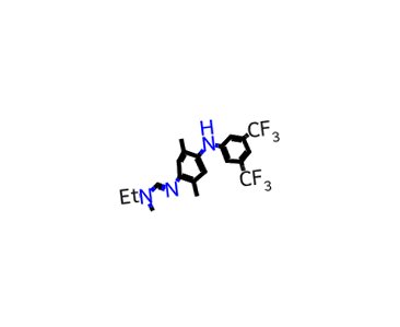 CCN(C)C=Nc1cc(C)c(Nc2cc(C(F)(F)F)cc(C(F)(F)F)c2)cc1C